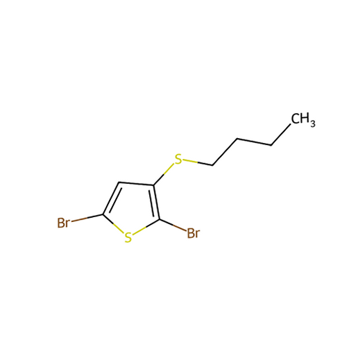 CCCCSc1cc(Br)sc1Br